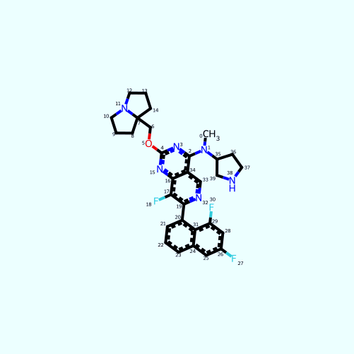 CN(c1nc(OCC23CCCN2CCC3)nc2c(F)c(-c3cccc4cc(F)cc(F)c34)ncc12)C1CCNC1